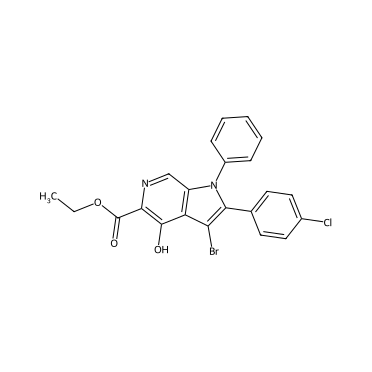 CCOC(=O)c1ncc2c(c1O)c(Br)c(-c1ccc(Cl)cc1)n2-c1ccccc1